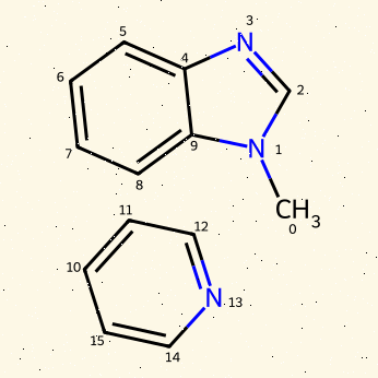 Cn1cnc2ccccc21.c1ccncc1